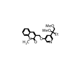 CCC(COC)(OC)c1cncc(OCc2cc3ccccc3n(C)c2=O)c1